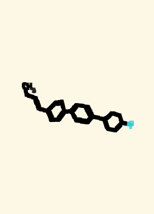 CCC=Cc1ccc(-c2ccc(C3CCC(F)CC3)cc2)cc1